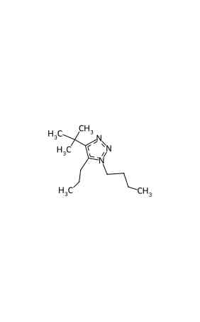 CCCCn1nnc(C(C)(C)C)c1CCC